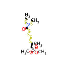 CO[Si](CCSSSSC(=O)N(SC)SC)(OC)OC